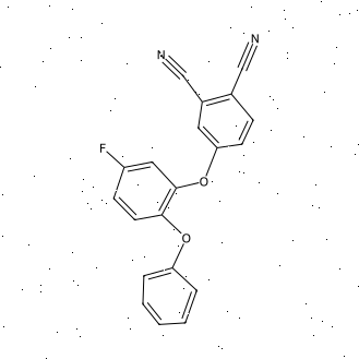 N#Cc1ccc(Oc2cc(F)ccc2Oc2ccccc2)cc1C#N